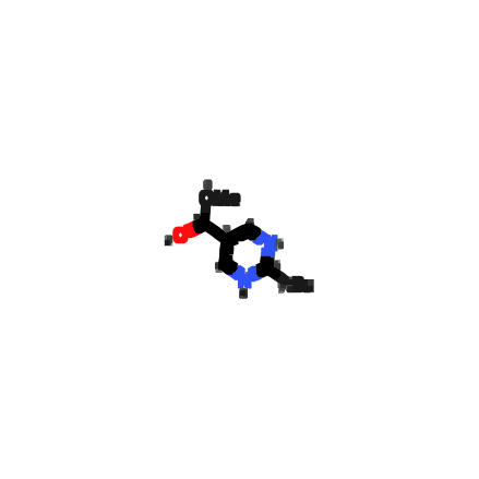 COC(=O)c1cnc(C(C)(C)C)nc1